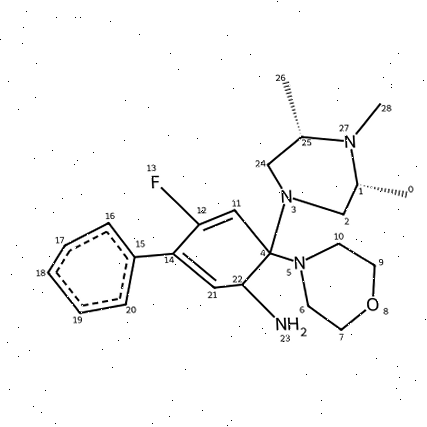 C[C@@H]1CN(C2(N3CCOCC3)C=C(F)C(c3ccccc3)=CC2N)C[C@H](C)N1C